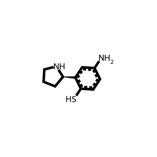 Nc1ccc(S)c([C@H]2CCCN2)c1